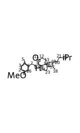 COc1ccc(C)c(CC[C@@H]2C(=O)CC[C@]3(C)[C@@H]([C@H](C)CCCC(C)C)CC[C@@H]23)c1